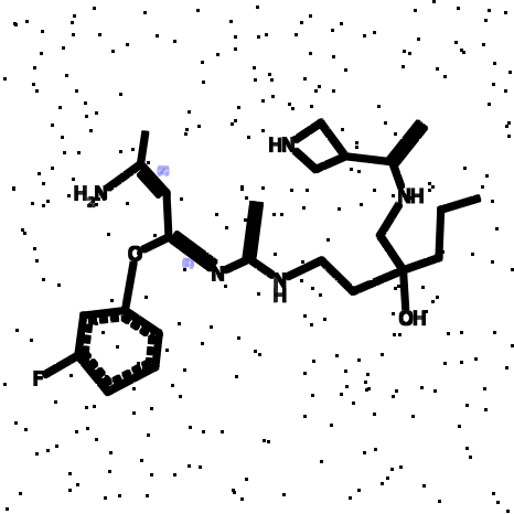 C=C(/N=C(\C=C(\C)N)Oc1cccc(F)c1)NCCC(O)(CCC)CNC(=C)C1CNC1